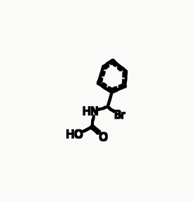 O=C(O)NC(Br)c1ccccc1